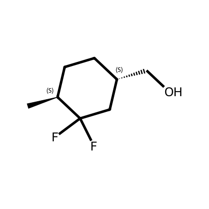 C[C@H]1CC[C@H](CO)CC1(F)F